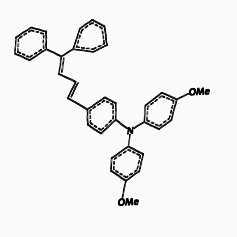 COc1ccc(N(c2ccc(/C=C/C=C(c3ccccc3)c3ccccc3)cc2)c2ccc(OC)cc2)cc1